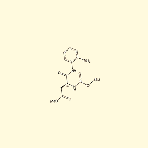 COC(=O)C[C@H](NC(=O)OC(C)(C)C)C(=O)Nc1ccccc1N